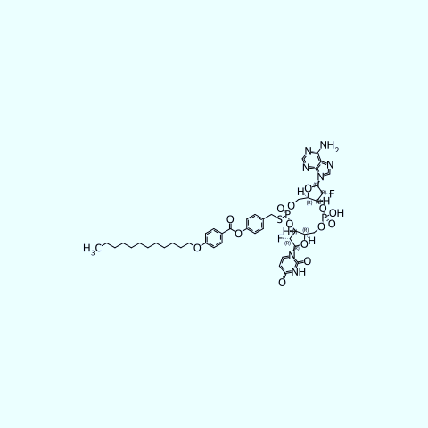 CCCCCCCCCCCCOc1ccc(C(=O)Oc2ccc(CSP3(=O)OC[C@H]4O[C@@H](n5cnc6c(N)ncnc65)[C@H](F)[C@@H]4OP(=O)(O)OC[C@H]4O[C@@H](n5ccc(=O)[nH]c5=O)[C@H](F)[C@@H]4O3)cc2)cc1